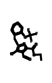 CCOC(=O)c1nn(Cc2ccccc2OC(F)(F)F)c(Cl)c1C=O